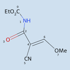 CCOC(=O)NC(=O)C(C#N)=COC